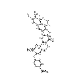 CNc1ccc(COP(O)OC2C(=O)OCc3c2cc2n(c3=O)Cc3c-2nc2cc(F)c(C)c4c2c3CCC4)cc1